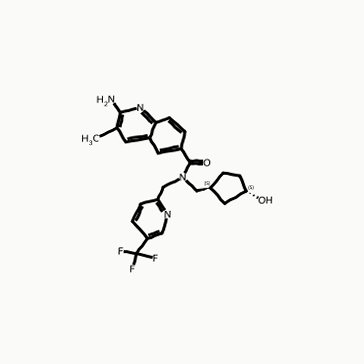 Cc1cc2cc(C(=O)N(Cc3ccc(C(F)(F)F)cn3)C[C@H]3CC[C@H](O)C3)ccc2nc1N